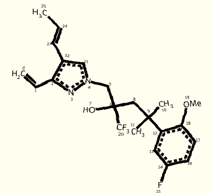 C=Cc1nn(CC(O)(CC(C)(C)c2cc(F)ccc2OC)C(F)(F)F)cc1C=CC